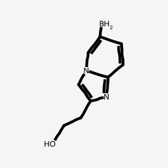 Bc1ccc2nc(CCO)cn2c1